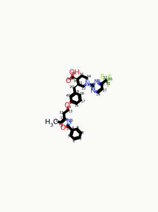 Cc1oc(-c2ccccc2)nc1CCOc1cccc(C[C@@H]2CN(c3nccc(C(F)(F)F)n3)CC[C@@H]2C(=O)O)c1